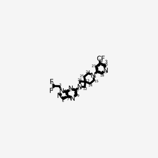 FC(F)Cn1ncc2ncc(N3CC4(CCN(c5cncc(C(F)(F)F)c5)CC4)C3)nc21